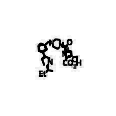 C\C=C(/C=N\C=C(/C)CC)c1cccc(CN2CCN(C(=O)n3cc(Cl)c(C(=O)O)n3)CC2)c1